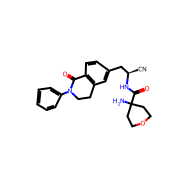 N#C[C@H](Cc1ccc2c(c1)CCN(c1ccccc1)C2=O)NC(=O)C1(N)CCOCC1